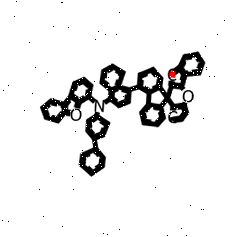 c1ccc(-c2ccc(N(c3ccc(-c4cccc5c4-c4ccccc4C54c5ccccc5Oc5c4ccc4ccccc54)c4ccccc34)c3cccc4c3oc3ccccc34)cc2)cc1